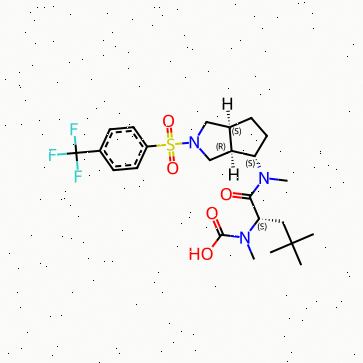 CN(C(=O)O)[C@@H](CC(C)(C)C)C(=O)N(C)[C@H]1CC[C@@H]2CN(S(=O)(=O)c3ccc(C(F)(F)F)cc3)C[C@@H]21